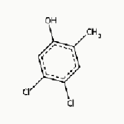 Cc1cc(Cl)c(Cl)cc1O